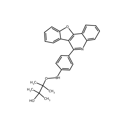 CC(C)(O)C(C)(C)OBc1ccc(-c2nc3ccccc3c3oc4ccccc4c23)cc1